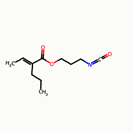 C/C=C(\CCC)C(=O)OCCCN=C=O